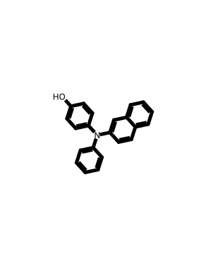 Oc1ccc(N(c2ccccc2)c2ccc3ccccc3c2)cc1